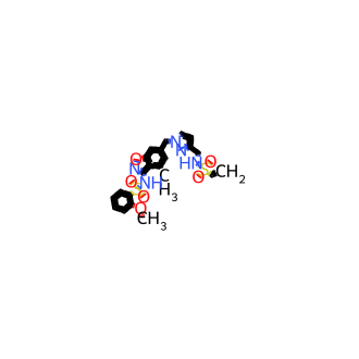 C=CS(=O)(=O)NCc1ccn(Cc2cc(C)c3c(NS(=O)(=O)c4ccccc4OC)noc3c2)n1